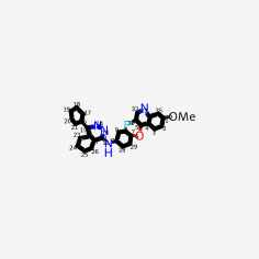 COc1ccc2c(Oc3ccc(Nc4nnc(-c5ccccc5)c5ccccc45)cc3)c(F)cnc2c1